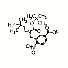 CC(C)(C)CCN(Cc1cc(C(=O)O)ccc1[N+](=O)[O-])C(=O)OC(C)(C)C